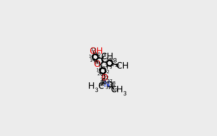 C#Cc1ccc(C2=C(C)c3cc(O)ccc3OC2c2ccc(OCC(C)N3CCC(C)C3)cc2)cc1